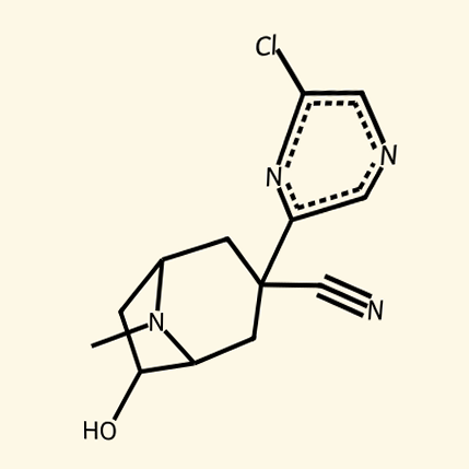 CN1C2CC(O)C1CC(C#N)(c1cncc(Cl)n1)C2